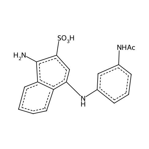 CC(=O)Nc1cccc(Nc2cc(S(=O)(=O)O)c(N)c3ccccc23)c1